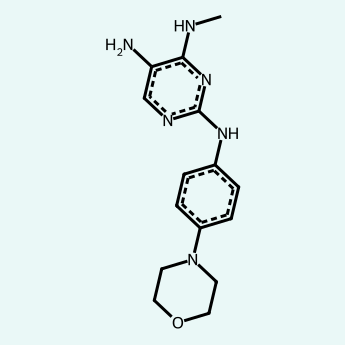 CNc1nc(Nc2ccc(N3CCOCC3)cc2)ncc1N